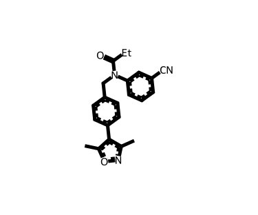 CCC(=O)N(Cc1ccc(-c2c(C)noc2C)cc1)c1cccc(C#N)c1